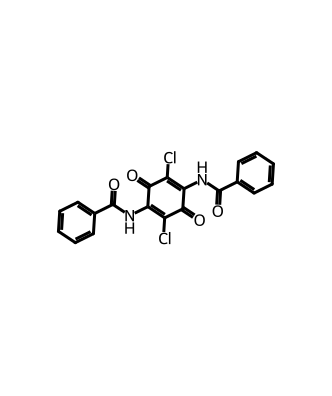 O=C1C(Cl)=C(NC(=O)c2ccccc2)C(=O)C(Cl)=C1NC(=O)c1ccccc1